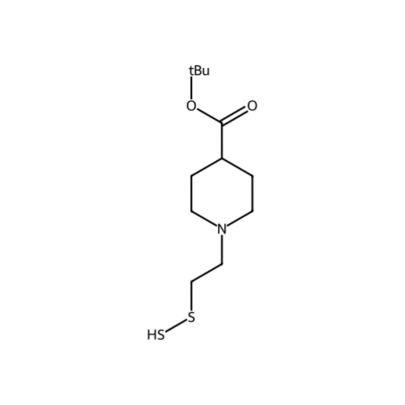 CC(C)(C)OC(=O)C1CCN(CCSS)CC1